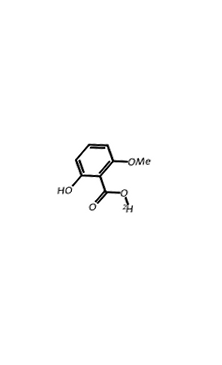 [2H]OC(=O)c1c(O)cccc1OC